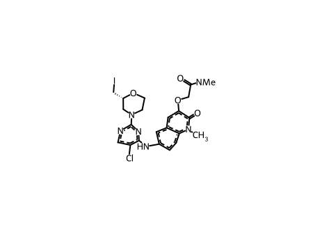 CNC(=O)COc1cc2cc(Nc3nc(N4CCO[C@@H](CI)C4)ncc3Cl)ccc2n(C)c1=O